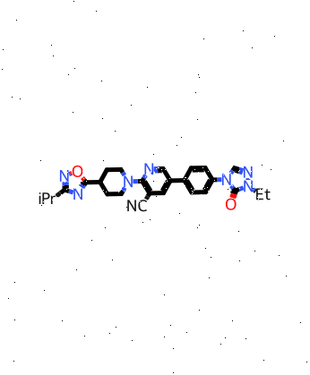 CCn1ncn(-c2ccc(-c3cnc(N4CCC(c5nc(C(C)C)no5)CC4)c(C#N)c3)cc2)c1=O